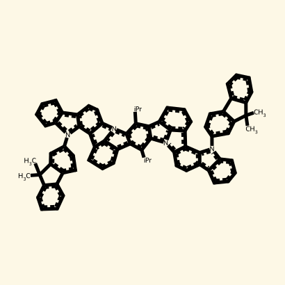 CC(C)c1c2c3cccc4c5c6c(ccc5n(c2c(C(C)C)c2c5cccc7c8c9c(ccc8n(c12)c57)c1ccccc1n9-c1ccc2c(c1)C(C)(C)c1ccccc1-2)c34)c1ccccc1n6-c1ccc2c(c1)C(C)(C)c1ccccc1-2